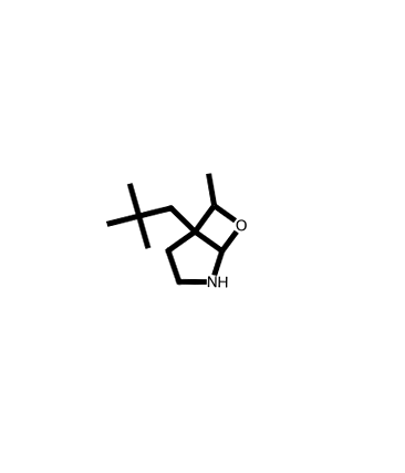 CC1OC2NCCC12CC(C)(C)C